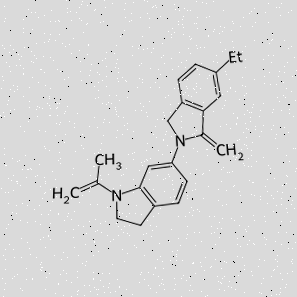 C=C1c2cc(CC)ccc2CN1c1ccc2c(c1)N(C(=C)C)CC2